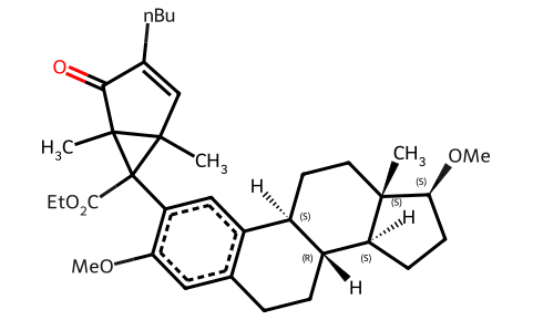 CCCCC1=CC2(C)C(C)(C1=O)C2(C(=O)OCC)c1cc2c(cc1OC)CC[C@@H]1[C@@H]2CC[C@]2(C)[C@@H](OC)CC[C@@H]12